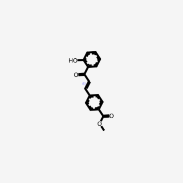 COC(=O)c1ccc(/C=C/C(=O)c2ccccc2O)cc1